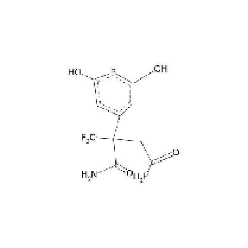 NC(=O)C(CC(=O)P)(c1cc(O)bc(O)c1)C(F)(F)F